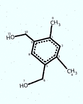 Cc1cc(C)c(CO)cc1CO